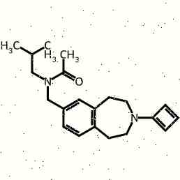 CC(=O)N(Cc1ccc2c(c1)CCN(C1=CC=C1)CC2)CC(C)C